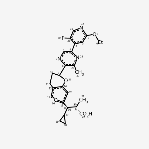 CCOc1cc(-c2cnc(C3CCc4ccc([C@H](C5CC5)[C@H](C)C(=O)O)cc4O3)c(C)n2)c(F)cn1